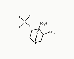 CC1CN2CC[N+]1(S(=O)(=O)O)CC2.F[B-](F)(F)F